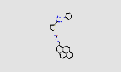 O=C(NCc1ccc2ccc3cccc4ccc1c2c34)Nc1ccc(-c2nnn(-c3ccccc3)n2)s1